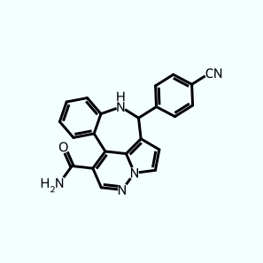 N#Cc1ccc(C2Nc3ccccc3-c3c(C(N)=O)cnn4ccc2c34)cc1